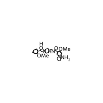 COc1cc(N)c(Cl)cc1C(=O)NCC1CCN(CC(O)c2ccccc2OC)CC1